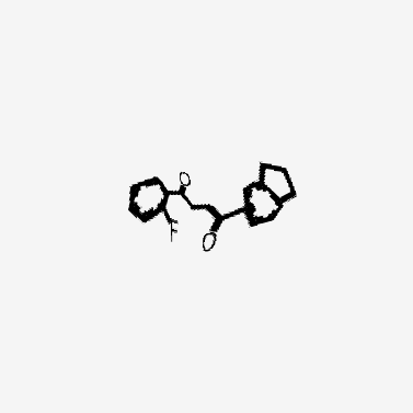 O=C(CCC(=O)c1ccccc1F)c1ccc2c(c1)CCC2